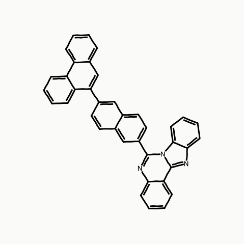 c1ccc2c(c1)cc(-c1ccc3cc(-c4nc5ccccc5c5nc6ccccc6n45)ccc3c1)c1ccccc12